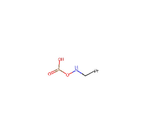 CC(C)CNOS(=O)O